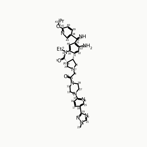 CCN(C(=O)[C@@H]1CCN(CC(=O)N2CCN(c3ccc(-c4ncn(C)n4)cn3)CC2)C1)c1ccc(N)c(C(=N)c2ccc(OC(C)C)nc2)c1